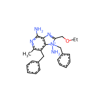 CCOCC1=Nc2c(N)nc(C)c(Cc3ccccc3)c2[N+]1(N)Cc1ccccc1